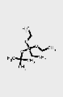 CCO[Si](CN)(OCC)OC(C)(C)C